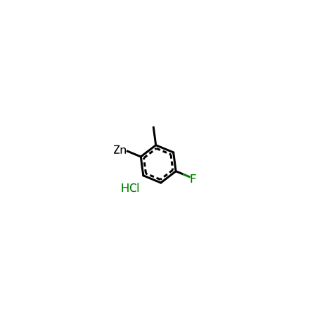 Cc1cc(F)cc[c]1[Zn].Cl